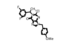 COc1ccc(Cn2cnc3c(=O)n(C(C)c4cc(F)cc(F)c4)c(Cl)nc32)cc1